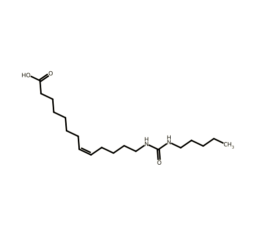 CCCCCNC(=O)NCCCC/C=C\CCCCCCC(=O)O